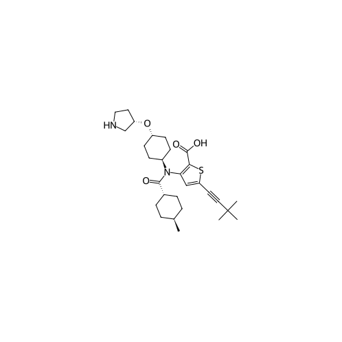 CC(C)(C)C#Cc1cc(N(C(=O)[C@H]2CC[C@H](C)CC2)[C@H]2CC[C@H](O[C@H]3CCNC3)CC2)c(C(=O)O)s1